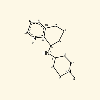 CN1CCC(NC2CCCc3cccnc32)CC1